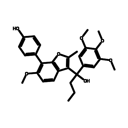 CCCC(O)(c1cc(OC)c(OC)c(OC)c1)c1c(C)oc2c(-c3ccc(O)cc3)c(OC)ccc12